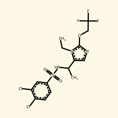 CCn1c(C(C)NS(=O)(=O)c2ccc(Cl)c(Cl)c2)cnc1OCC(F)(F)F